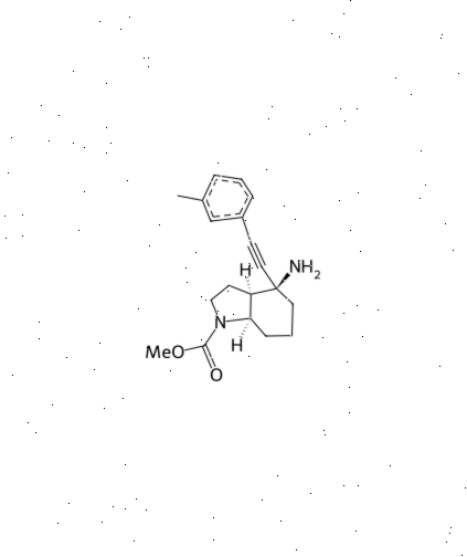 COC(=O)N1CC[C@@H]2[C@H]1CCC[C@@]2(N)C#Cc1cccc(C)c1